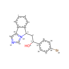 OC(CC1c2ccccc2-c2cncn21)c1ccc(Br)cc1